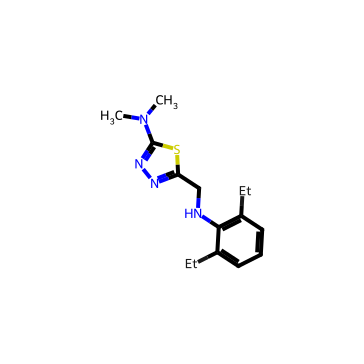 CCc1cccc(CC)c1NCc1nnc(N(C)C)s1